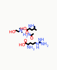 CC(C)CC(N)C(=O)O.CC(N)=O.C[N+](C)(C)CCO.N=C(N)NCCCC(N)C(=O)O